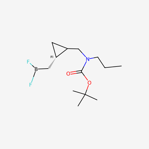 CCCN(CC1C[C@H]1CB(F)F)C(=O)OC(C)(C)C